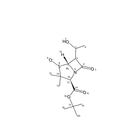 CC(O)C1C(=O)N2[C@@H]1[S+]([O-])C(C)(C)[C@@H]2C(=O)OC(C)(C)C